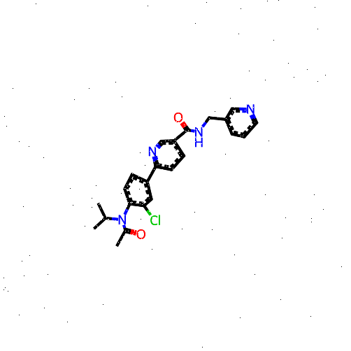 CC(=O)N(c1ccc(-c2ccc(C(=O)NCc3cccnc3)cn2)cc1Cl)C(C)C